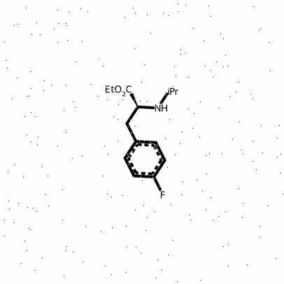 CCOC(=O)[C@H](Cc1ccc(F)cc1)NC(C)C